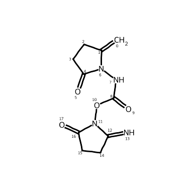 C=C1CCC(=O)N1NC(=O)ON1C(=N)CCC1=O